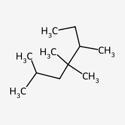 CCC(C)C(C)(C)CC(C)C